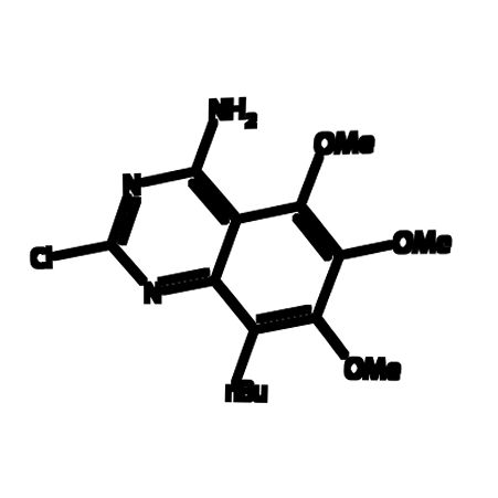 CCCCc1c(OC)c(OC)c(OC)c2c(N)nc(Cl)nc12